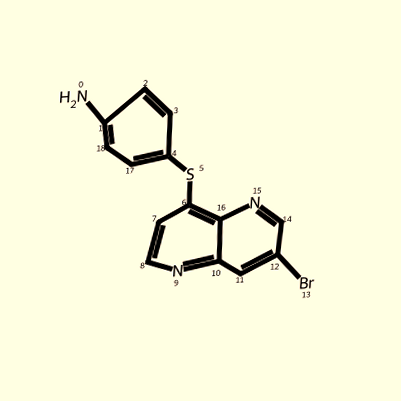 Nc1ccc(Sc2ccnc3cc(Br)cnc23)cc1